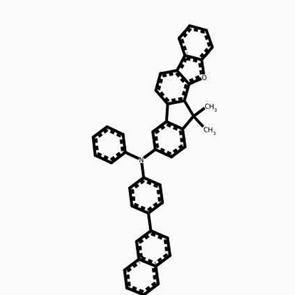 CC1(C)c2ccc(N(c3ccccc3)c3ccc(-c4ccc5ccccc5c4)cc3)cc2-c2ccc3c(oc4ccccc43)c21